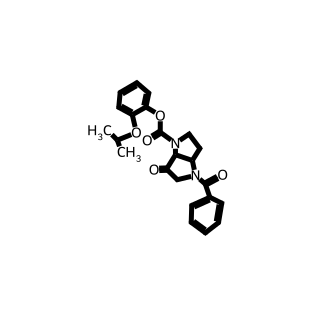 CC(C)Oc1ccccc1OC(=O)N1CCC2C1C(=O)CN2C(=O)c1ccccc1